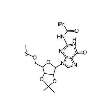 CC(C)C(=O)Nc1nc2c(ncn2C2OC(COSI)C3OC(C)(C)OC32)c(=O)[nH]1